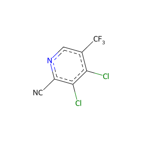 N#Cc1ncc(C(F)(F)F)c(Cl)c1Cl